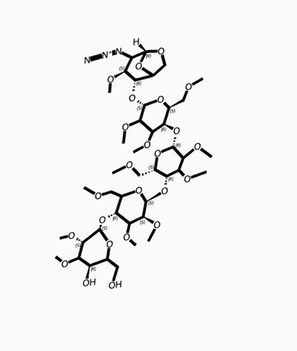 COCC1O[C@@H](O[C@H]2C(OC)C(OC)[C@@H](O[C@H]3C(OC)C(OC)[C@H](O[C@H]4C5CO[C@H](O5)C(N=[N+]=[N-])[C@@H]4OC)O[C@H]3COC)O[C@H]2COC)[C@@H](OC)C(OC)[C@@H]1O[C@@H]1OC(CO)[C@@H](O)C(OC)[C@@H]1OC